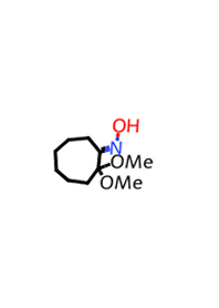 COC1(OC)CCCCCC/C1=N\O